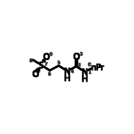 CCCNC(=O)NCCS(C)(=O)=O